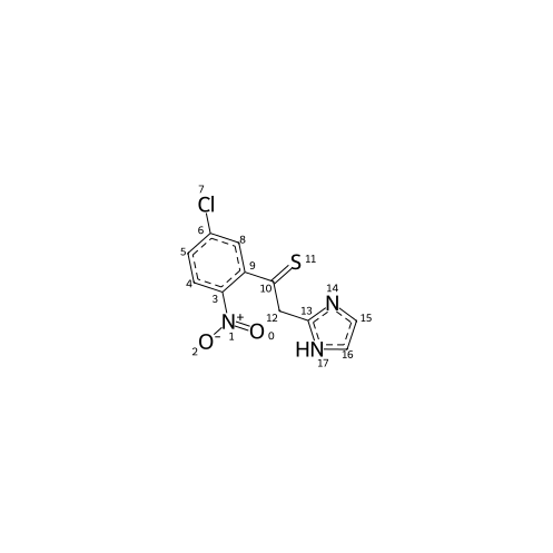 O=[N+]([O-])c1ccc(Cl)cc1C(=S)Cc1ncc[nH]1